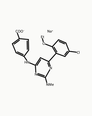 CCOc1ccc(Cl)cc1-c1cc(Nc2ccc(C(=O)[O-])cc2)nc(NC)n1.[Na+]